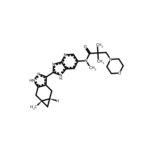 CN(C(=O)C(C)(C)CN1CCOCC1)c1cnc2nc(-c3n[nH]c4c3C[C@@H]3C[C@]3(C)C4)[nH]c2c1